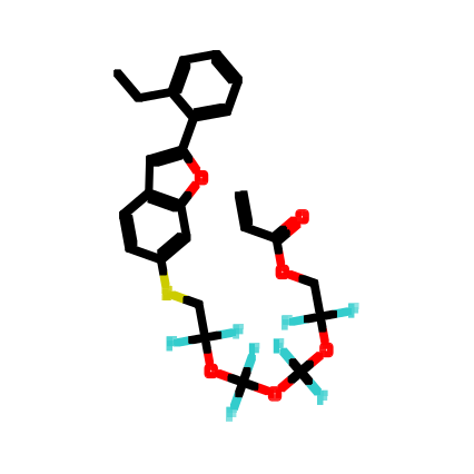 C=CC(=O)OCC(F)(F)OC(F)(F)OC(F)(F)OC(F)(F)CSc1ccc2cc(-c3ccccc3CC)oc2c1